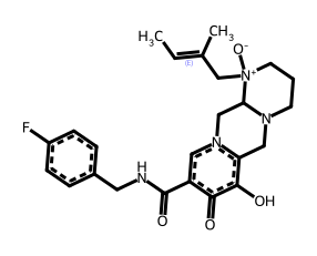 C/C=C(\C)C[N+]1([O-])CCCN2Cc3c(O)c(=O)c(C(=O)NCc4ccc(F)cc4)cn3CC21